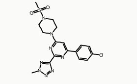 Cn1nnc(-c2nc(-c3ccc(Cl)cc3)cc(N3CCN(S(C)(=O)=O)CC3)n2)n1